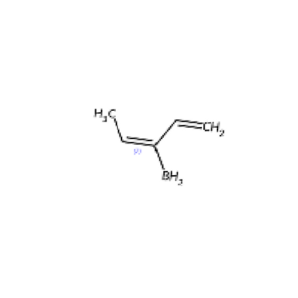 B/C(C=C)=C/C